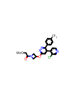 COCC(=O)N1CC(Oc2cc(-c3ccncc3Cl)c(-c3ccc(C(F)(F)F)cc3)nn2)C1